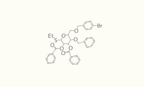 CCSC1OC(COCc2ccc(Br)cc2)C(OCc2ccccc2)C(OC(=O)c2ccccc2)C1OC(=O)c1ccccc1